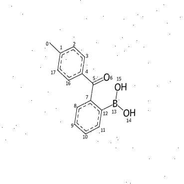 Cc1ccc(C(=O)c2ccccc2B(O)O)cc1